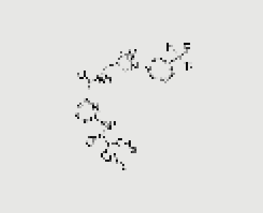 CC(C)C(=O)Nc1cccc(C(=O)NCc2cnn(-c3cccc(C(F)(F)F)c3)c2)n1